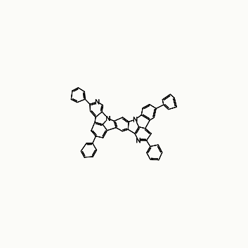 c1ccc(-c2ccc3c(c2)c2cc(-c4ccccc4)nc4c5cc6c7cc(-c8ccccc8)cc8c9cc(-c%10ccccc%10)ncc9n(c6cc5n3c24)c87)cc1